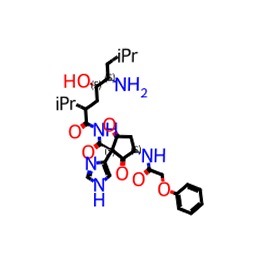 CC(C)C[C@H](N)[C@@H](O)CC(C(=O)NC(=O)[C@@]1(c2c[nH]cn2)C(=O)C[C@H](NC(=O)COc2ccccc2)C1=O)C(C)C